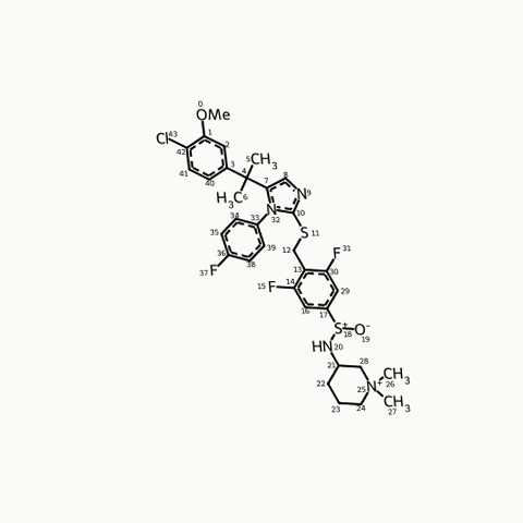 COc1cc(C(C)(C)c2cnc(SCc3c(F)cc([S+]([O-])NC4CCC[N+](C)(C)C4)cc3F)n2-c2ccc(F)cc2)ccc1Cl